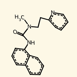 CN(CCc1ccccn1)C(=O)Nc1cccc2ccccc12